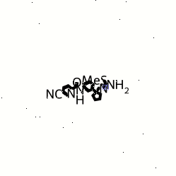 CS/C(N)=N\CC1(c2cccc(NC(=O)c3ccc(C#N)cn3)c2)CCCC1